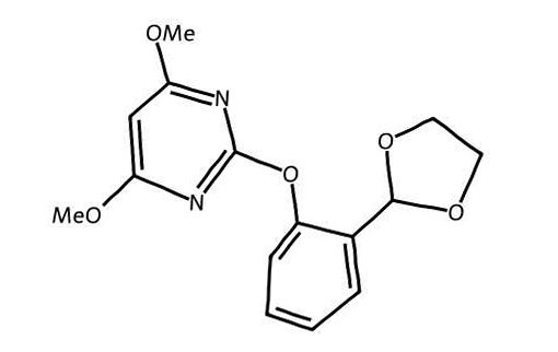 COc1cc(OC)nc(Oc2ccccc2C2OCCO2)n1